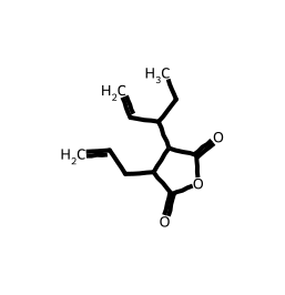 C=CCC1C(=O)OC(=O)C1C(C=C)CC